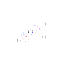 Cc1cc(NC(=O)C(=O)N2C[C@@H](C)CC[C@@H]2C2CCCCC2)cnc1NC(=O)OC(C)(C)C